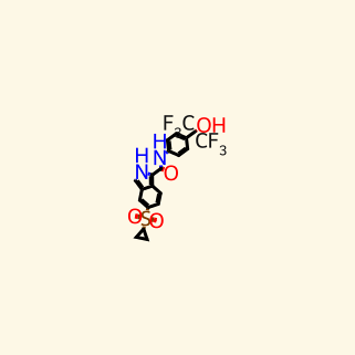 O=C(Nc1ccc(C(O)(C(F)(F)F)C(F)(F)F)cc1)c1[nH]cc2cc(S(=O)(=O)C3CC3)ccc12